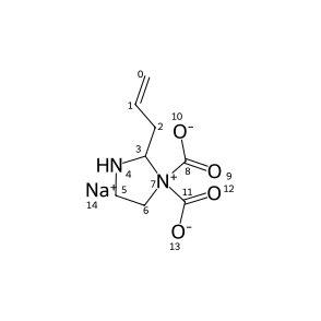 C=CCC1NCC[N+]1(C(=O)[O-])C(=O)[O-].[Na+]